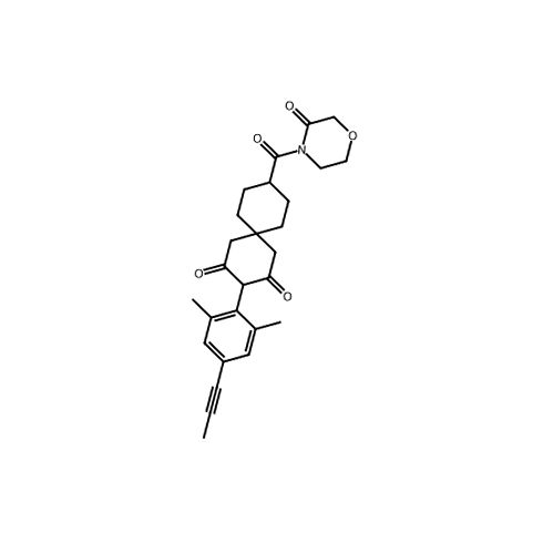 CC#Cc1cc(C)c(C2C(=O)CC3(CCC(C(=O)N4CCOCC4=O)CC3)CC2=O)c(C)c1